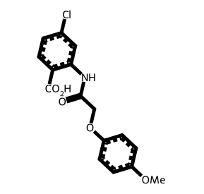 COc1ccc(OCC(=O)Nc2cc(Cl)ccc2C(=O)O)cc1